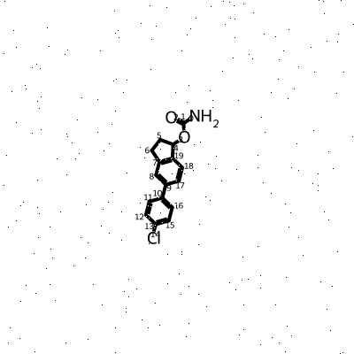 NC(=O)OC1CCc2cc(-c3ccc(Cl)cc3)ccc21